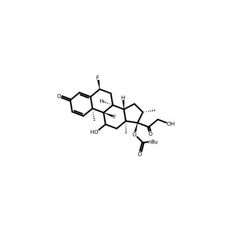 CCCCC(=O)O[C@]1(C(=O)CO)[C@@H](C)C[C@H]2[C@@H]3C[C@H](F)C4=CC(=O)C=C[C@]4(C)[C@@]3(F)C(O)C[C@@]21C